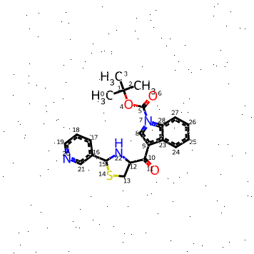 CC(C)(C)OC(=O)n1cc(C(=O)C2CSC(c3cccnc3)N2)c2ccccc21